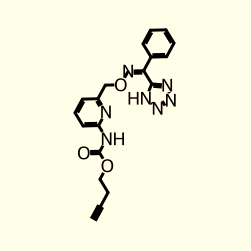 C#CCCOC(=O)Nc1cccc(CON=C(c2ccccc2)c2nnn[nH]2)n1